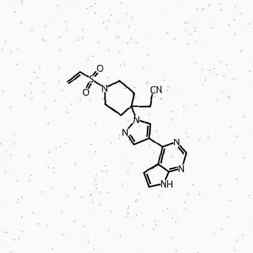 C=CS(=O)(=O)N1CCC(CC#N)(n2cc(-c3ncnc4[nH]ccc34)cn2)CC1